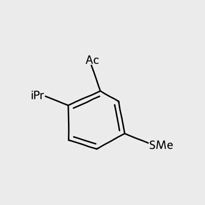 CSc1ccc(C(C)C)c(C(C)=O)c1